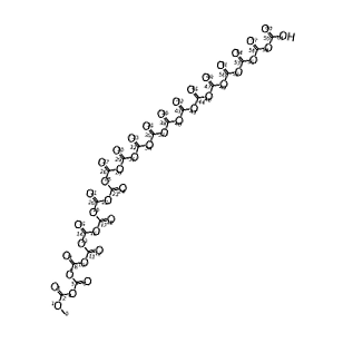 COC(=O)OC(=O)OC(=O)OC(=O)OC(=O)OC(=O)OC(=O)OC(=O)OC(=O)OC(=O)OC(=O)OC(=O)OC(=O)OC(=O)OC(=O)OC(=O)OC(=O)OC(=O)OC(=O)OC(=O)O